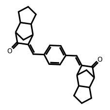 O=C1/C(=C/c2ccc(/C=C3/C(=O)C4CC3C3CCCC43)cc2)C2CC1C1CCCC21